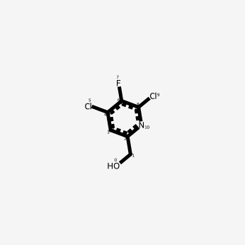 OCc1cc(Cl)c(F)c(Cl)n1